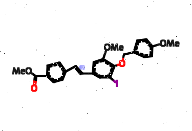 COC(=O)c1ccc(/C=C/c2cc(I)c(OCc3ccc(OC)cc3)c(OC)c2)cc1